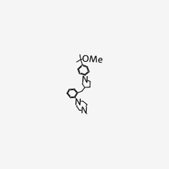 COC(C)(C)c1ccc(N2CCC(Cc3ccccc3N3CCN(C)CC3)C2)cc1